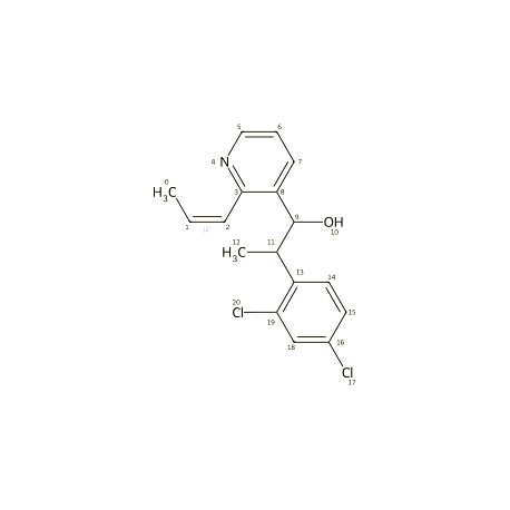 C/C=C\c1ncccc1C(O)C(C)c1ccc(Cl)cc1Cl